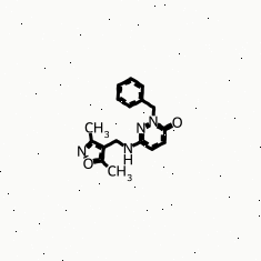 Cc1noc(C)c1CNc1ccc(=O)n(Cc2ccccc2)n1